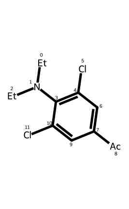 CCN(CC)c1c(Cl)cc(C(C)=O)cc1Cl